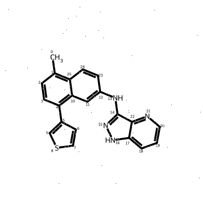 Cc1ccc(-c2ccsc2)c2cc(Nc3n[nH]c4cccnc34)ccc12